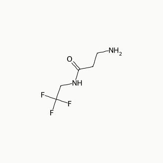 NCCC(=O)NCC(F)(F)F